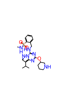 CNS(=O)(=O)c1ccccc1CNc1nc(OC2CCCNC2)nc2c(C(C)C)cnn12